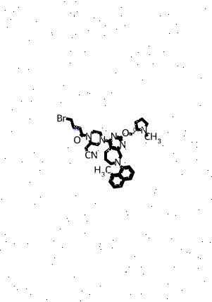 Cc1cccc2cccc(N3CCCc4c(nc(OC[C@@H]5CCCN5C)nc4N4CCN(C(=O)/C=C/CBr)C(CC#N)C4)C3)c12